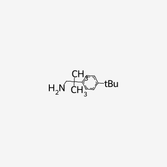 CC(C)(C)c1ccc(C(C)(C)CN)cc1